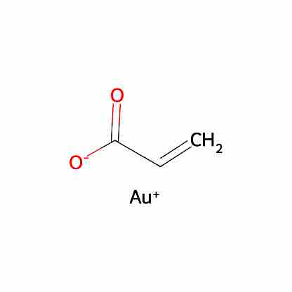 C=CC(=O)[O-].[Au+]